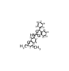 C=C1C=C(C)c2ccc(NC(=O)OC(c3ccccc3)c3ccccc3)cc2O1